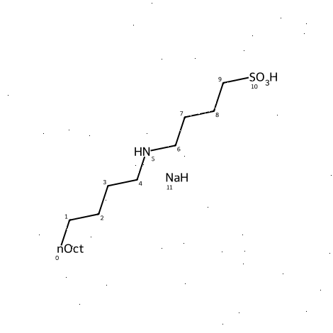 CCCCCCCCCCCCNCCCCS(=O)(=O)O.[NaH]